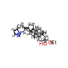 CCOC[C@@]1(O)CC[C@H]2[C@H](CC[C@@H]3[C@@H]2CC[C@]2(C)[C@@H]([C@H](C)Cn4nccc4C#N)CC[C@@H]32)C1